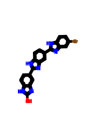 Oc1nc2cc(-c3nc4cc(-c5nc6cc(Br)ccc6[nH]5)ccc4[nH]3)ccc2[nH]1